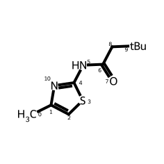 Cc1csc(NC(=O)CC(C)(C)C)n1